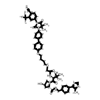 Cc1ncsc1-c1ccc(CNC(=O)[C@@H]2C[C@@H](O)CN2C(=O)[C@@H](NC(=O)COCCCCOc2ccc(-c3ccc(N4C(=S)N(c5ccc(C#N)c(C(F)(F)F)c5)C(=O)C4(C)C)cc3)cc2)C(C)(C)C)cc1